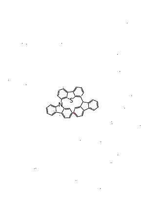 c1ccc2c(c1)-c1ccccc1C2c1cccc2c1sc1c(-n3c4ccccc4c4ccccc43)cccc12